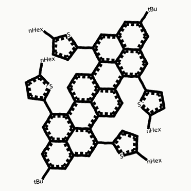 CCCCCCc1ccc(-c2cc3cc(C(C)(C)C)cc4cc(-c5ccc(CCCCCC)s5)c5c6ccc7c8c(-c9ccc(CCCCCC)s9)cc9cc(C(C)(C)C)cc%10cc(-c%11ccc(CCCCCC)s%11)c(c%11ccc(c2c5c34)c6c%117)c8c%109)s1